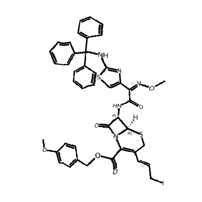 CO/N=C(\C(=O)N[C@@H]1C(=O)N2C(C(=O)OCc3ccc(OC)cc3)=C(/C=C/CI)CS[C@H]12)c1csc(NC(c2ccccc2)(c2ccccc2)c2ccccc2)n1